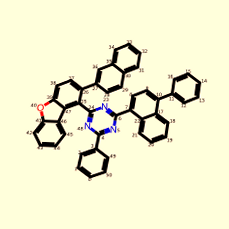 c1ccc(-c2nc(-c3ccc(-c4ccccc4)c4ccccc34)nc(-c3c(-c4ccc5ccccc5c4)ccc4oc5ccccc5c34)n2)cc1